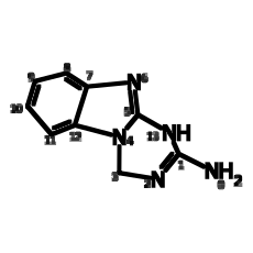 NC1=NCn2c(nc3ccccc32)N1